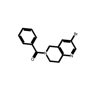 O=C(c1ccccc1)N1CCc2ncc(Br)cc2C1